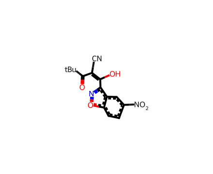 CC(C)(C)C(=O)C(C#N)=C(O)c1noc2ccc([N+](=O)[O-])cc12